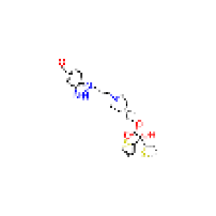 O=Cc1ccc2c(c1)nnn2CCCN1CCC2(CC1)CC(OC(=O)C(O)(C1=CCCS1)c1cccs1)C2